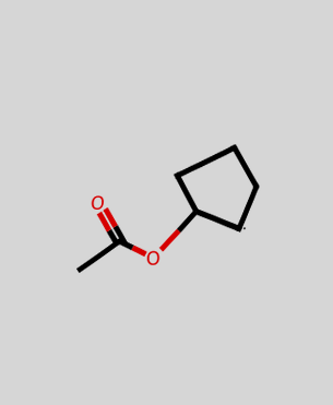 CC(=O)OC1[CH]CCC1